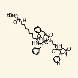 CN1C(=O)C[C@H](C(=O)NCCNC(=O)[C@H](Cc2ccccc2)NC(=O)[C@H](Cc2ccccc2)NC(=O)CCCCCCCNC(=O)OC(C)(C)C)[C@H]1c1cccnc1